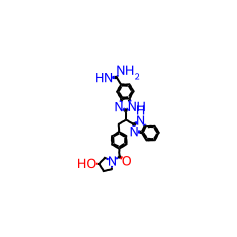 N=C(N)c1ccc2[nH]c(C(Cc3ccc(C(=O)N4CCC(O)C4)cc3)c3nc4ccccc4[nH]3)nc2c1